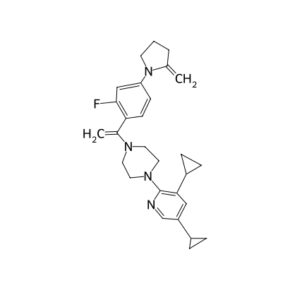 C=C(c1ccc(N2CCCC2=C)cc1F)N1CCN(c2ncc(C3CC3)cc2C2CC2)CC1